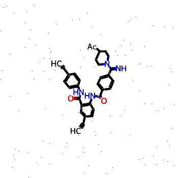 C#Cc1ccc(NC(=O)c2cc(C#C)ccc2NC(=O)c2ccc(C(=N)N3CCC(C(C)=O)CC3)cc2)cc1